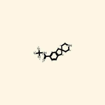 [2H]C([2H])([2H])NC(=O)c1ccc2c(c1)CC1(CCNCC1)C2